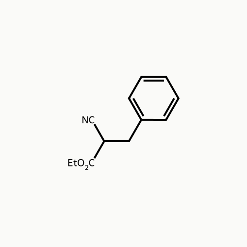 CCOC(=O)C(C#N)Cc1ccccc1